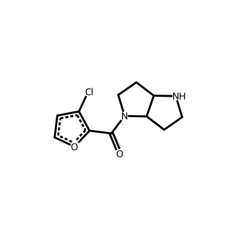 O=C(c1occc1Cl)N1CCC2NCCC21